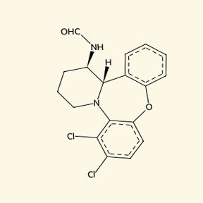 O=CN[C@@H]1CCCN2c3c(ccc(Cl)c3Cl)Oc3ccccc3[C@@H]12